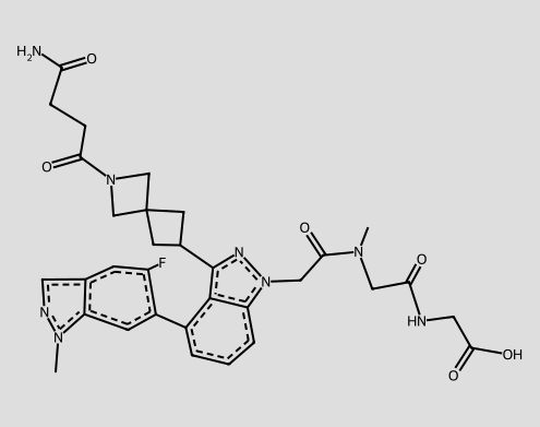 CN(CC(=O)NCC(=O)O)C(=O)Cn1nc(C2CC3(C2)CN(C(=O)CCC(N)=O)C3)c2c(-c3cc4c(cnn4C)cc3F)cccc21